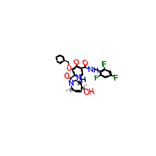 C[C@H]1C=C[C@](C)(O)[C@H]2CN1C(=O)c1c(OCc3ccccc3)c(=O)c(C(=O)NCc3c(F)cc(F)cc3F)cn12